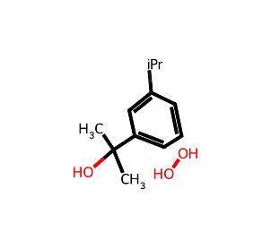 CC(C)c1cccc(C(C)(C)O)c1.OO